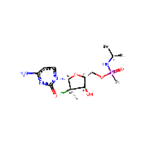 CC[C@@H](NP(=O)(CC)OC[C@H]1O[C@@H](n2ccc(N)nc2=O)[C@](C)(F)[C@@H]1O)C(C)C